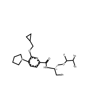 [2H]C([2H])C(F)OC[C@H](CC(C)C)NC(=O)c1ccc(N2CCCC2)c(OCC2CC2)n1